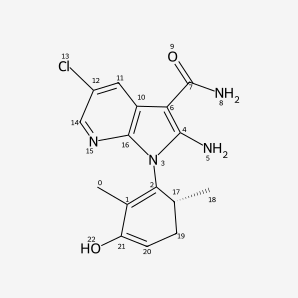 CC1=C(n2c(N)c(C(N)=O)c3cc(Cl)cnc32)[C@H](C)CC=C1O